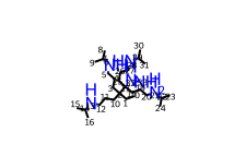 CCC(CCCNC(C)C)(CCCNC(C)C)C(CCCNC(C)C)(CCCNC(C)C)NN